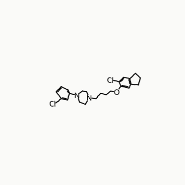 Clc1cccc(N2CCN(CCCCOc3cc4c(cc3Cl)CCC4)CC2)c1